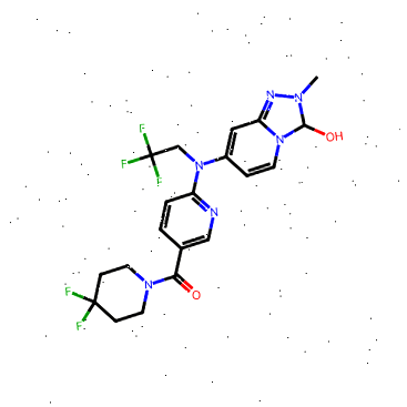 CN1N=C2C=C(N(CC(F)(F)F)c3ccc(C(=O)N4CCC(F)(F)CC4)cn3)C=CN2C1O